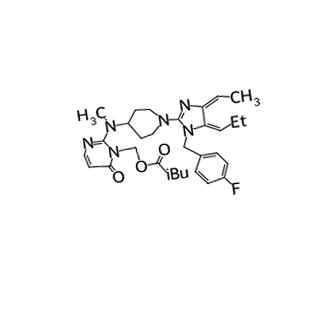 C/C=c1/nc(N2CCC(N(C)c3nccc(=O)n3COC(=O)C(C)CC)CC2)n(Cc2ccc(F)cc2)/c1=C/CC